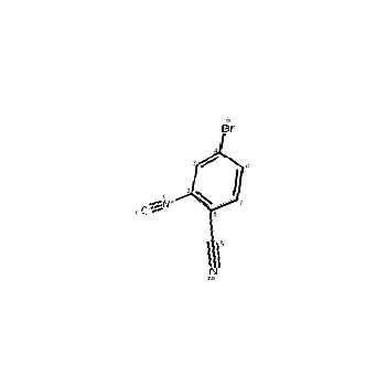 [C-]#[N+]c1cc(Br)ccc1C#N